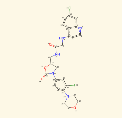 O=C(CNc1ccnc2cc(Cl)ccc12)NCC1CN(c2ccc(N3CCOCC3)c(F)c2)C(=O)O1